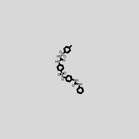 Cc1ccc(S(=O)(=O)NC(=O)Nc2ccc(S(=O)(=O)Nc3ccc(NC(=O)Nc4ccccc4)cc3)cc2)cc1